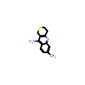 Nc1c2c(nc3cc(C(F)(F)F)ccc13)CCSC2